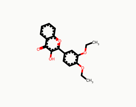 CCOc1ccc(-c2oc3ccccc3c(=O)c2O)cc1OCC